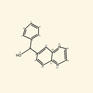 OC(c1ccccc1)c1ccc2nccnc2c1